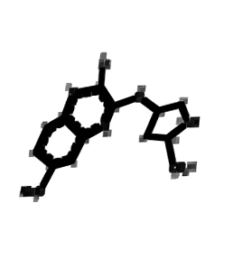 CCc1nc2ccc(OC)cc2nc1OC1CNC(C(=O)O)C1